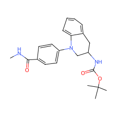 CNC(=O)c1ccc(N2CC(NC(=O)OC(C)(C)C)Cc3ccccc32)cc1